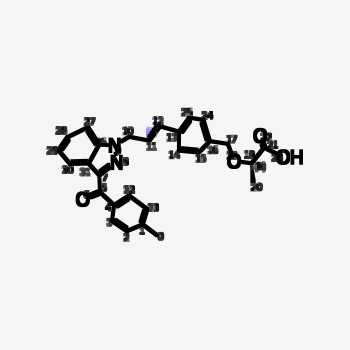 Cc1ccc(C(=O)c2nn(C/C=C/c3ccc(CO[C@H](C)C(=O)O)cc3)c3ccccc23)cc1